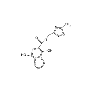 Cc1nc(COC(=O)c2cc(O)c3ccccc3c2O)cs1